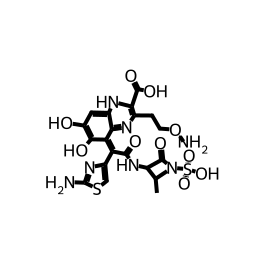 CC1C(NC(=O)C(c2csc(N)n2)=c2c(O)c(O)cc3c2=NC(CCON)=C(C(=O)O)N3)C(=O)N1S(=O)(=O)O